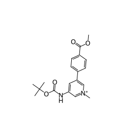 COC(=O)c1ccc(-c2cc(NC(=O)OC(C)(C)C)c[n+](C)c2)cc1